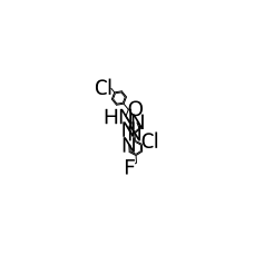 O=C(Nc1ncn(-c2ncc(CF)cc2Cl)n1)c1ccc(Cl)cc1